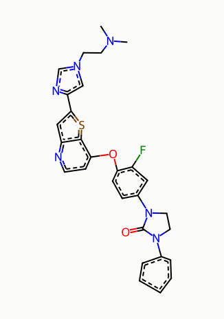 CN(C)CCn1cnc(-c2cc3nccc(Oc4ccc(N5CCN(c6ccccc6)C5=O)cc4F)c3s2)c1